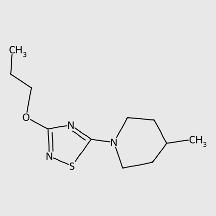 CCCOc1nsc(N2CCC(C)CC2)n1